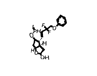 OC1C[C@H]2[C@H](CC(OPI)[C@@H]2/C=C/C(F)(F)COc2ccccc2)O1